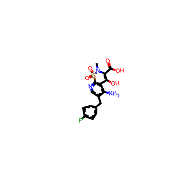 CN1C(C(=O)O)=C(O)c2c(ncc(Cc3ccc(F)cc3)c2N)S1(=O)=O